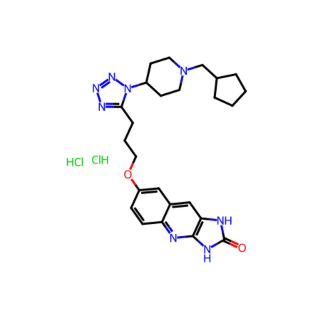 Cl.Cl.O=c1[nH]c2cc3cc(OCCCc4nnnn4C4CCN(CC5CCCC5)CC4)ccc3nc2[nH]1